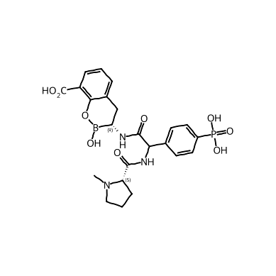 CN1CCC[C@H]1C(=O)NC(C(=O)N[C@H]1Cc2cccc(C(=O)O)c2OB1O)c1ccc(P(=O)(O)O)cc1